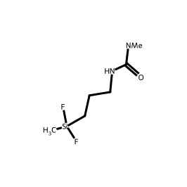 CNC(=O)NCCC[Si](C)(F)F